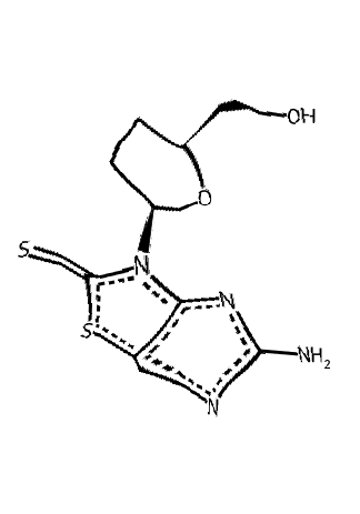 Nc1ncc2sc(=S)n([C@H]3CC[C@@H](CO)O3)c2n1